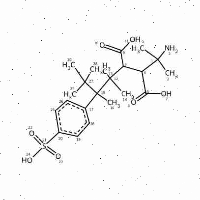 CC(C)(N)C(C(=O)O)C(C(=O)O)C(C)(C)C(C)(c1ccc(S(=O)(=O)O)cc1)C(C)(C)C